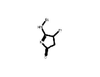 CCNC1=NC(=O)CC1CC